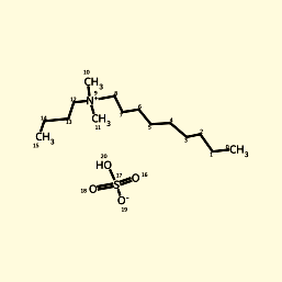 CCCCCCCCC[N+](C)(C)CCCC.O=S(=O)([O-])O